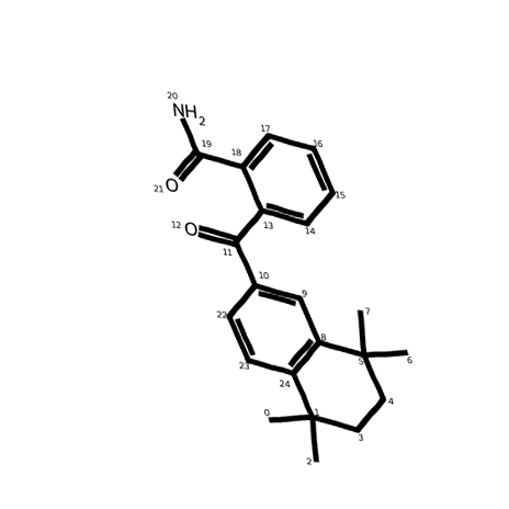 CC1(C)CCC(C)(C)c2cc(C(=O)c3ccccc3C(N)=O)ccc21